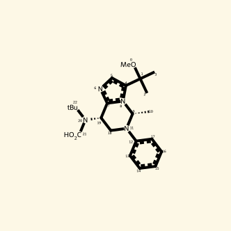 COC(C)(C)c1cnc2n1[C@H](C)N(c1ccccc1)C[C@@H]2N(C(=O)O)C(C)(C)C